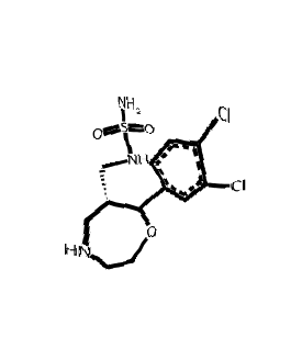 NS(=O)(=O)NC[C@H]1CNCCOC1c1ccc(Cl)c(Cl)c1